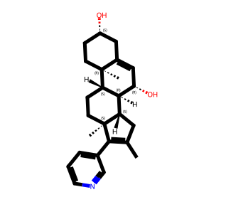 CC1=C(c2cccnc2)[C@@]2(C)CC[C@H]3[C@@H]([C@@H](O)C=C4C[C@@H](O)CC[C@@]43C)[C@@H]2C1